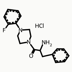 Cl.NC(Cc1ccccc1)C(=O)N1CCN(c2ccccc2F)CC1